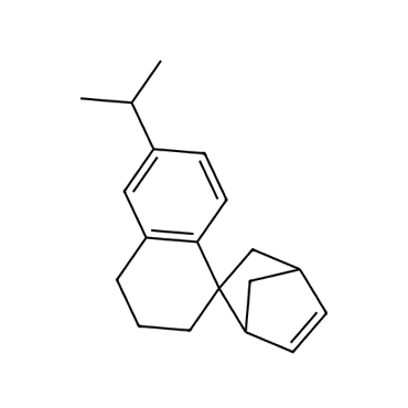 CC(C)c1ccc2c(c1)CCCC21CC2C=CC1C2